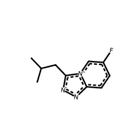 CC(C)Cc1nnc2ccc(F)cn12